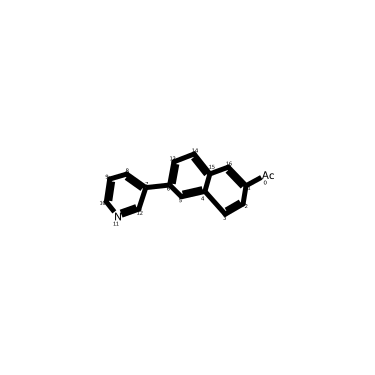 CC(=O)c1ccc2cc(-c3cccnc3)ccc2c1